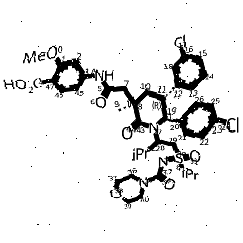 COc1cc(NC(=O)C[C@@]2(C)C[C@H](c3cccc(Cl)c3)[C@@H](c3ccc(Cl)cc3)N(C(CS(=O)(=NC(=O)N3CCOCC3)C(C)C)C(C)C)C2=O)ccc1C(=O)O